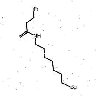 C=C(CCC(C)C)NCCCCCCCC(C)CC